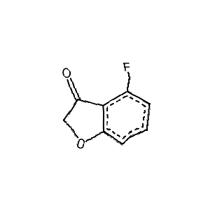 O=C1COc2cccc(F)c21